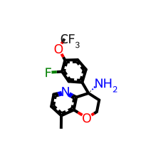 Cc1ccnc2c1OCC[C@]2(N)c1ccc(OC(F)(F)F)c(F)c1